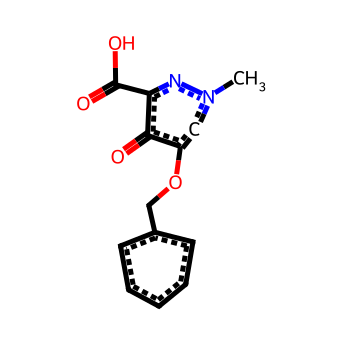 Cn1cc(OCc2ccccc2)c(=O)c(C(=O)O)n1